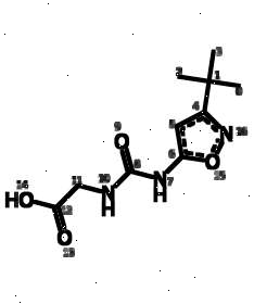 CC(C)(C)c1cc(NC(=O)NCC(=O)O)on1